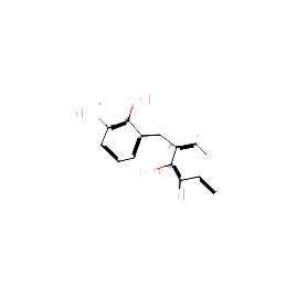 C=C/C(=C(O)\C(=C/C)Cc1cccc(C(C)(C)C)c1O)C(C)(C)C